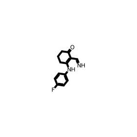 N=CC1=C(Nc2ccc(F)cc2)CCCC1=O